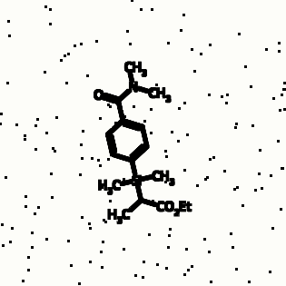 CCOC(=O)C(C)[Si](C)(C)c1ccc(C(=O)N(C)C)cc1